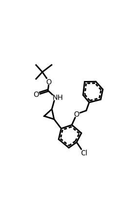 CC(C)(C)OC(=O)NC1CC1c1ccc(Cl)cc1OCc1ccccc1